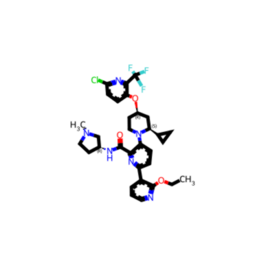 CCOc1ncccc1-c1ccc(N2CC[C@@H](Oc3ccc(Cl)nc3C(F)(F)F)C[C@H]2C2CC2)c(C(=O)N[C@@H]2CCN(C)C2)n1